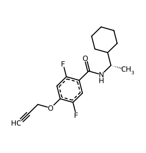 C#CCOc1cc(F)c(C(=O)N[C@@H](C)C2CCCCC2)cc1F